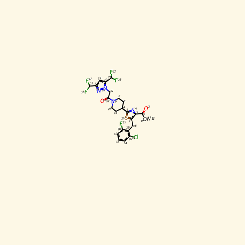 COC(=O)c1nc(C2CCN(C(=O)Cn3nc(C(F)F)cc3C(F)F)CC2)sc1Cc1c(F)cccc1Cl